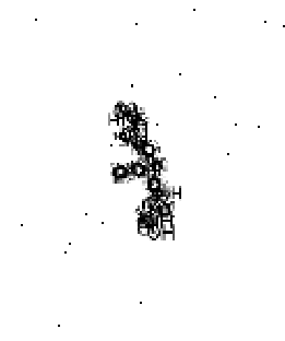 COC(=O)N[C@H](C(=O)N1CCC[C@H]1c1nc2cc([C@H]3CC[C@H](c4ccc5nc([C@@H]6CCCN6C(=O)[C@@H](NC(=O)O)C(C)C)[nH]c5c4)N3C3CCC(c4ccccc4)CC3)ccc2[nH]1)C(C)C